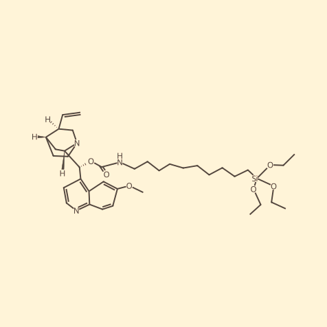 C=C[C@H]1CN2CC[C@H]1C[C@H]2[C@H](OC(=O)NCCCCCCCCCC[Si](OCC)(OCC)OCC)c1ccnc2ccc(OC)cc12